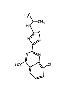 CC(C)Nc1nc(-c2cc(O)c3cccc(Cl)c3n2)cs1